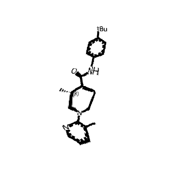 Cc1cccnc1N1CC=C(C(=O)Nc2ccc(C(C)(C)C)cc2)[C@@H](C)C1